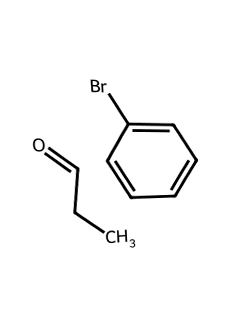 Brc1ccccc1.CCC=O